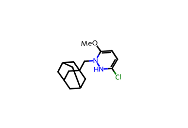 COC1=CC=C(Cl)NN1CC12CC3CC(CC(C3)C1)C2